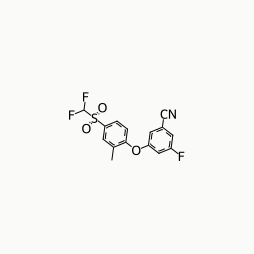 Cc1cc(S(=O)(=O)C(F)F)ccc1Oc1cc(F)cc(C#N)c1